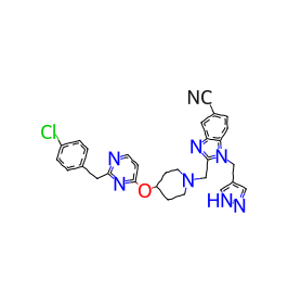 N#Cc1ccc2c(c1)nc(CN1CCC(Oc3ccnc(Cc4ccc(Cl)cc4)n3)CC1)n2Cc1cn[nH]c1